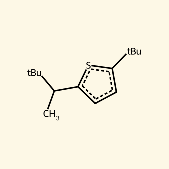 CC(c1ccc(C(C)(C)C)s1)C(C)(C)C